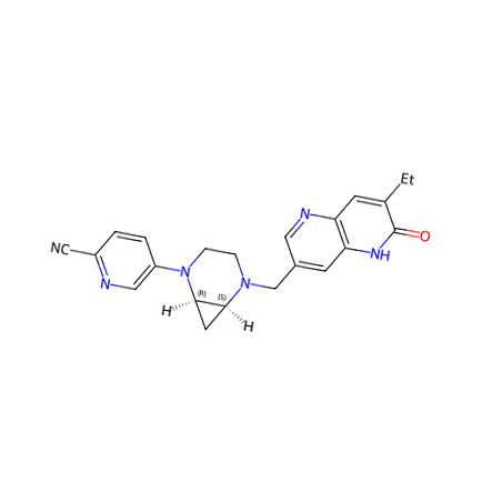 CCc1cc2ncc(CN3CCN(c4ccc(C#N)nc4)[C@@H]4C[C@@H]43)cc2[nH]c1=O